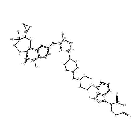 Cn1nc(C2CCC(=O)NC2=O)c2cccc(N3CCC(CN4CCN(c5ncc(Br)c(Nc6ccc7c(c6)c6c(c(=O)n7C)OCC(F)(F)C(C7CC7)N6)n5)CC4)CC3)c21